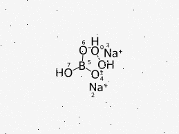 OO.[Na+].[Na+].[O-]B([O-])O